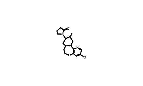 O=C1CCCN1C1CC2CCOc3cc(Cl)cnc3N2CC1F